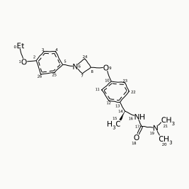 CCOc1ccc(N2CC(Oc3ccc([C@H](C)NC(=O)N(C)C)cc3)C2)cc1